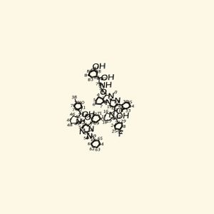 CN(Cc1ccccc1)c1ncc(C(=O)N2CCCCC2C(O)c2ccc(F)cc2)c(-c2ccccc2)n1.Cc1ccc(C(O)C2CCCCN2C(=O)c2cnc(N(C)Cc3ccccc3)nc2-c2ccccc2)cc1.O=CNCC(O)c1cccc(O)c1